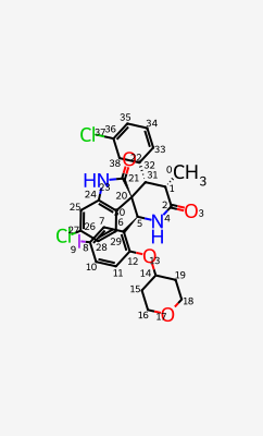 C[C@@H]1C(=O)N[C@@H](c2cc(I)ccc2OC2CCOCC2)[C@@]2(C(=O)Nc3cc(Cl)ccc32)[C@@H]1C1C=CC=C(Cl)C1